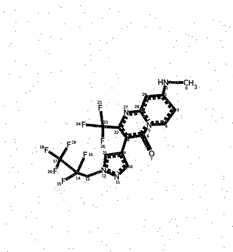 CNc1ccn2c(=O)c(-c3cnn(CC(F)(F)C(F)(F)F)c3)c(C(F)(F)F)nc2c1